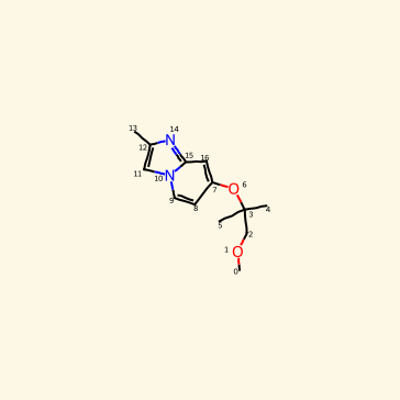 COCC(C)(C)Oc1ccn2cc(C)nc2c1